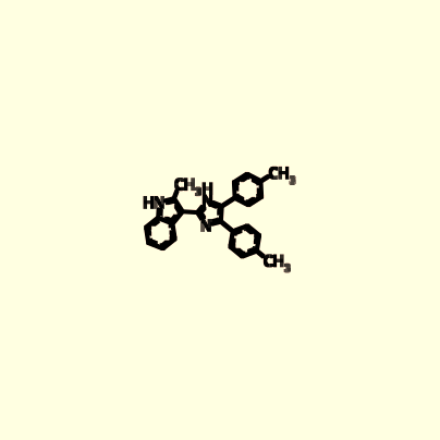 Cc1ccc(-c2nc(-c3c(C)[nH]c4ccccc34)[nH]c2-c2ccc(C)cc2)cc1